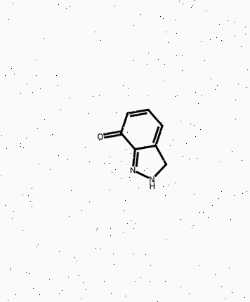 O=C1C=CC=C2CNN=C12